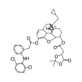 CC1(C)OC(=O)C(CC(=O)OC2CC[C@@]3(O)C4CC5C=CC(OC(=O)Cc6ccccc6Nc6c(Cl)cccc6Cl)=C6OC2C3(CCN4CC2CC2)C65)O1